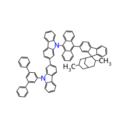 CC1CC2CC(C)C3(c4ccccc4-c4ccc(-c5c6ccccc6c(-n6c7ccccc7c7ccc(-c8ccc9c%10ccccc%10n(-c%10cc(-c%11ccccc%11)cc(-c%11ccccc%11)c%10)c9c8)cc76)c6ccccc56)cc43)C(C1)C2